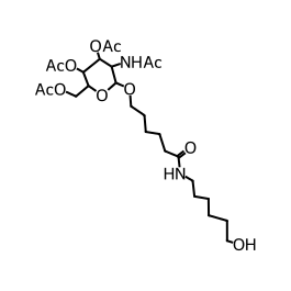 CC(=O)NC1C(OCCCCCC(=O)NCCCCCCO)OC(COC(C)=O)C(OC(C)=O)C1OC(C)=O